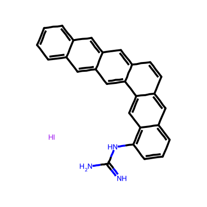 I.N=C(N)Nc1cccc2cc3ccc4cc5cc6ccccc6cc5cc4c3cc12